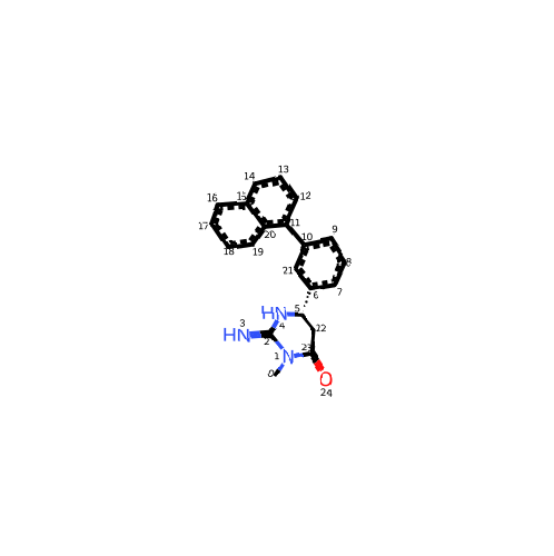 CN1C(=N)N[C@H](c2cccc(-c3cccc4ccccc34)c2)CC1=O